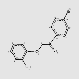 O=C(COc1ccccc1O)c1ccc(Br)cc1